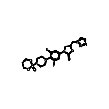 O=C1OC(Cn2ccnn2)CN1c1cc(F)c(N2CCN(P3(=O)OCCCO3)CC2)c(F)c1